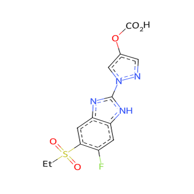 CCS(=O)(=O)c1cc2nc(-n3cc(OC(=O)O)cn3)[nH]c2cc1F